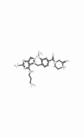 CCCCNc1nc(N)nc2cnn(Cc3ccc(C(=O)N4CCNC(=O)C4)cc3OC)c12